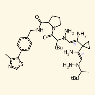 Cc1ncsc1-c1ccc(CNC(=O)C2CCCN2C(=O)C(N(N)/C=C(\N)C2(/C(N)=C/N(N)C(C)C(C)(C)C)CC2)C(C)(C)C)cc1